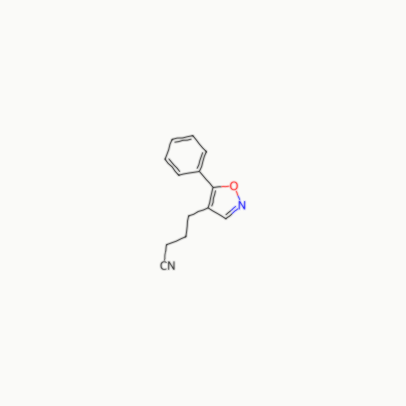 N#CCCCc1cnoc1-c1ccccc1